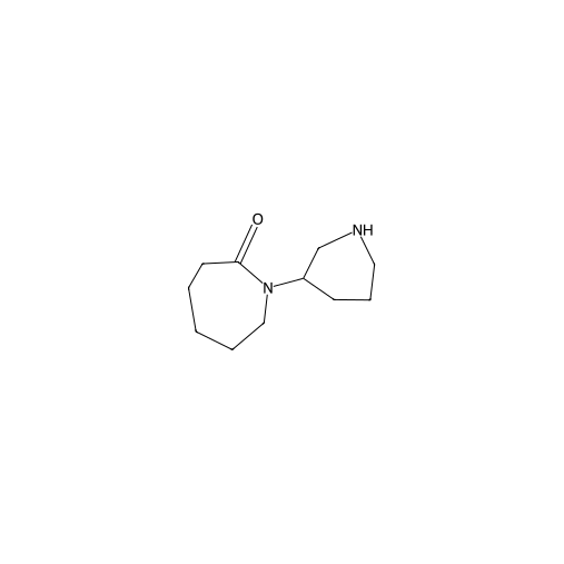 O=C1CCCCCN1C1CCCNC1